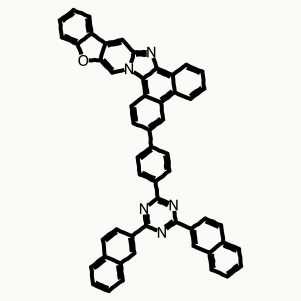 c1ccc2cc(-c3nc(-c4ccc(-c5ccc6c(c5)c5ccccc5c5nc7cc8c(cn7c65)oc5ccccc58)cc4)nc(-c4ccc5ccccc5c4)n3)ccc2c1